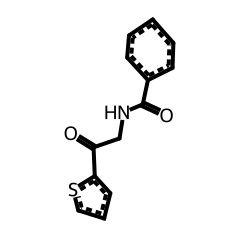 O=C(NCC(=O)c1cccs1)c1ccccc1